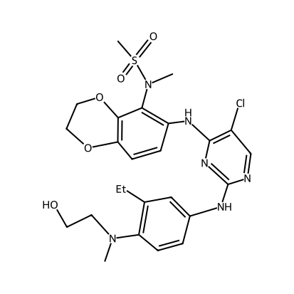 CCc1cc(Nc2ncc(Cl)c(Nc3ccc4c(c3N(C)S(C)(=O)=O)OCCO4)n2)ccc1N(C)CCO